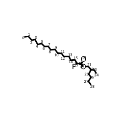 CCCCCCCCCCCCCCCCC(F)C(=O)OCC(CC)CCCC